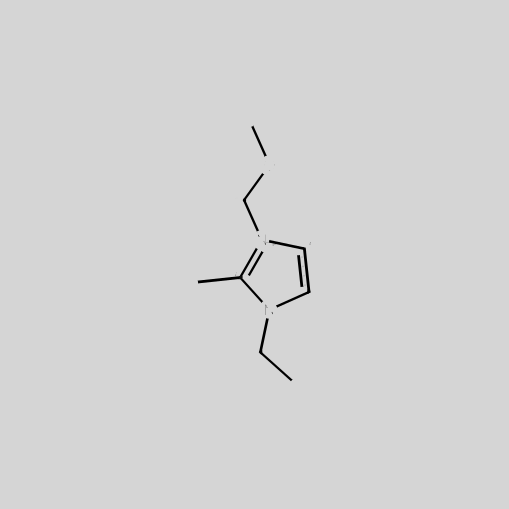 CCn1cc[n+](COC)c1C